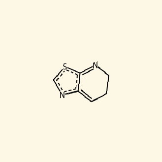 C1=c2ncsc2=NCC1